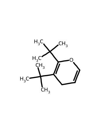 CC(C)(C)C1=C(C(C)(C)C)OC=CC1